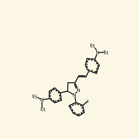 CCN(CC)c1ccc(C=CC2=NN(c3ccccc3I)C(c3ccc(N(CC)CC)cc3)C2)cc1